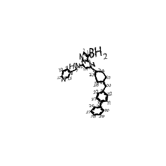 Bc1cnn2c(NCc3cccnc3)cc(C3CCC(Cc4ccc(-c5ccccc5)cc4)CC3)nc12